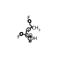 C[C@H](CCc1ccc(F)cc1)C1CCN(CC2CN([C@H](CC3CCC3)C(=O)O)CC2c2cccc(F)c2)CC1